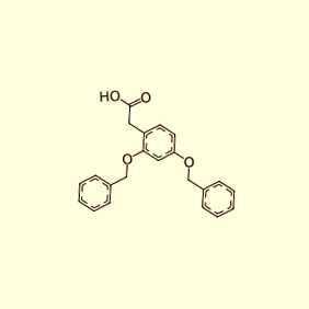 O=C(O)Cc1ccc(OCc2ccccc2)cc1OCc1ccccc1